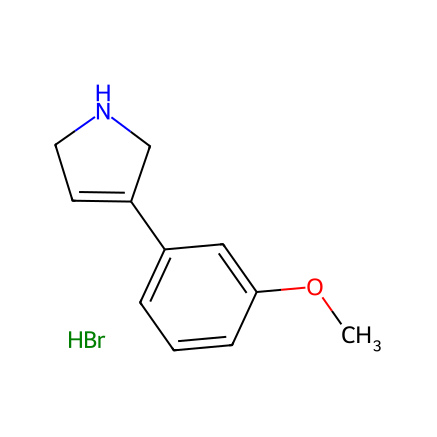 Br.COc1cccc(C2=CCNC2)c1